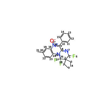 CCC1(CC)C(F)N=C2C(c3ccccc3)=[N+]([O-])c3cc(C)ccc3N2C1(F)F